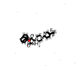 NC(=O)OC12CC3CC(C1)C(NC(=O)CN1CCN(c4ccc(C(F)(F)F)cn4)CC1)C(C3)C2